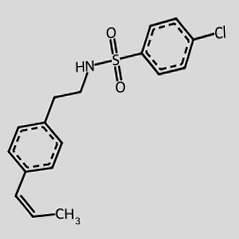 C/C=C\c1ccc(CCNS(=O)(=O)c2ccc(Cl)cc2)cc1